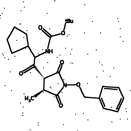 C[C@@H]1C(=O)N(OCc2ccccc2)C(=O)[C@H]1C(=O)C(NC(=O)OC(C)(C)C)C1CCCC1